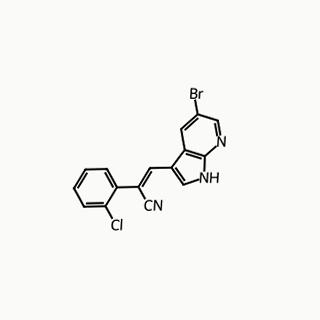 N#C/C(=C\c1c[nH]c2ncc(Br)cc12)c1ccccc1Cl